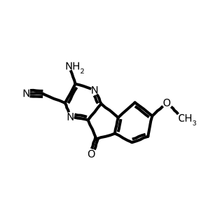 COc1ccc2c(c1)-c1nc(N)c(C#N)nc1C2=O